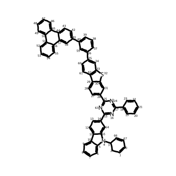 C1=CCC(n2c3ccccc3c3ccc(-c4nc(-c5ccccc5)nc(-c5ccc6c(c5)sc5cc(-c7cccc(-c8ccc9c%10ccccc%10c%10ccccc%10c9c8)c7)ccc56)n4)cc32)C=C1